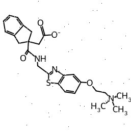 C[N+](C)(C)CCOc1ccc2sc(CNC(=O)C3(CC(=O)[O-])Cc4ccccc4C3)nc2c1